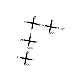 CCC(C(C)=O)(C(C)=O)C(=O)[O-].CCC(C(C)=O)(C(C)=O)C(=O)[O-].CCC(C(C)=O)(C(C)=O)C(=O)[O-].CCC(C(C)=O)(C(C)=O)C(=O)[O-].[Ti+4]